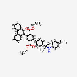 CCOC(=O)c1cc(-c2cc3ccccc3c3ccccc23)c(C(=O)OCC)cc1-c1ccc(C(C)(C)Nc2ccc(C)cc2)cc1